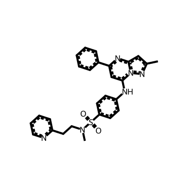 Cc1cc2nc(-c3ccccc3)cc(Nc3ccc(S(=O)(=O)N(C)CCc4ccccn4)cc3)n2n1